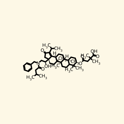 CC(C)CC(=O)N(Cc1ccccc1)C[C@H](O)[C@@]12CC[C@]3(C)[C@H](CC[C@@H]4[C@@]5(C)CC[C@H](OC(=O)CC(C)(C)C(=O)O)C(C)(C)C5CC[C@]43C)C1=C(C(C)C)C(=O)C2